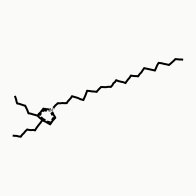 CCCCCCCCCCCCCCCCCC[n+]1ccc(CCCC)c(CCCC)c1